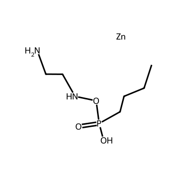 CCCCP(=O)(O)ONCCN.[Zn]